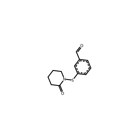 O=Cc1cccc(SN2CCCCC2=O)c1